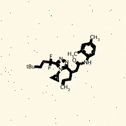 C=CCC(CC(=O)Nc1ccc(C)cc1C)c1nnc(C(F)(F)CCC(C)(C)C)n1C1CC1